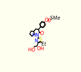 CCc1sc(NC(=O)C(CC2CCCC2)c2ccc(OOSC)cc2)nc1C(O)CO